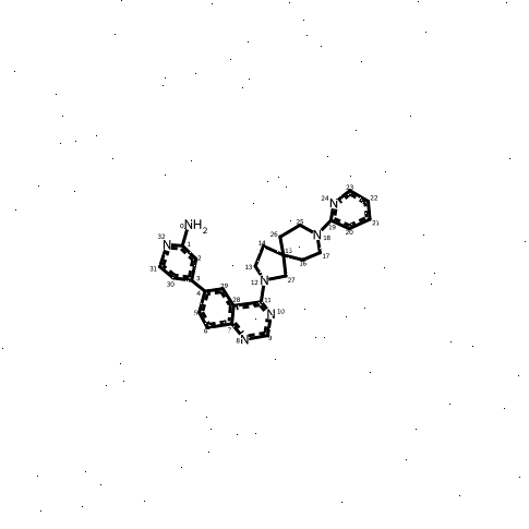 Nc1cc(-c2ccc3ncnc(N4CCC5(CCN(c6ccccn6)CC5)C4)c3c2)ccn1